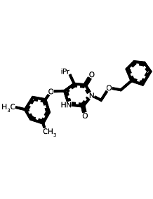 Cc1cc(C)cc(Oc2[nH]c(=O)n(COCc3ccccc3)c(=O)c2C(C)C)c1